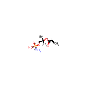 C=CC(=O)OC(CC)(CC)COP(N)(=O)O